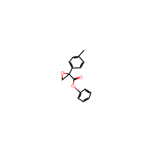 Cc1ccc(C2(C(=O)Oc3ccccc3)CO2)cc1